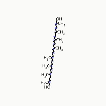 CC(/C=C/C=C(C)/C=C/C=C(C)/C=C/C=C(\C)CO)=C\C=C\C=C(C)\C=C\C=C(C)\C=C\C=C(/C)CC/C=C(\C)CO